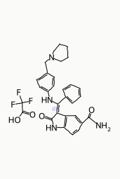 NC(=O)c1ccc2c(c1)/C(=C(/Nc1ccc(CN3CCCCC3)cc1)c1ccccc1)C(=O)N2.O=C(O)C(F)(F)F